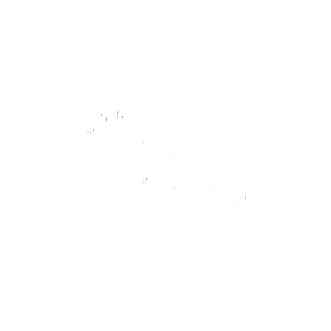 O=C(O)Cc1cccc(NC(=O)c2ccc3[nH]nnc3c2)c1